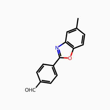 Cc1ccc2oc(-c3ccc(C=O)cc3)nc2c1